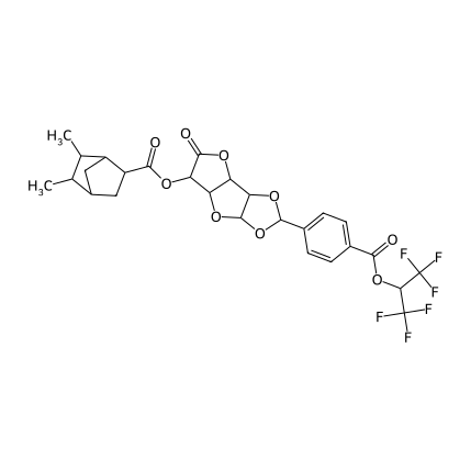 CC1C2CC(C(=O)OC3C(=O)OC4C5OC(c6ccc(C(=O)OC(C(F)(F)F)C(F)(F)F)cc6)OC5OC34)C(C2)C1C